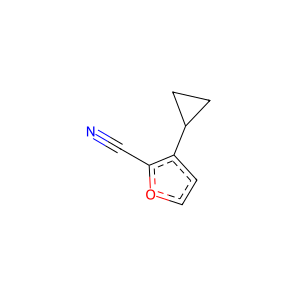 N#Cc1occc1C1CC1